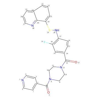 O=C(c1ccncc1)N1CCN(C(=O)c2ccc(NSc3cccc4cccnc34)c(F)c2)CC1